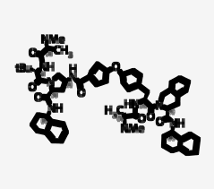 CN[C@@H](C)C(=O)N[C@@H](Cc1ccc(Oc2ccc(C(=O)N[C@H]3C[C@@H](C(=O)N[C@@H]4CCCc5ccccc54)N(C(=O)[C@@H](NC(=O)[C@H](C)NC)C(C)(C)C)C3)cc2)cc1)C(=O)N1Cc2ccccc2C[C@H]1C(=O)N[C@@H]1CCCc2ccccc21